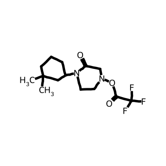 CC1(C)CCCC(N2CCN(OC(=O)C(F)(F)F)CC2=O)C1